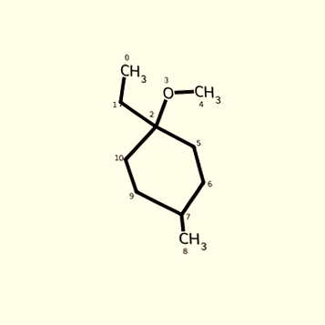 C[CH]C1(OC)CCC(C)CC1